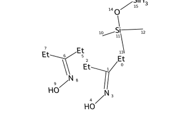 CCC(CC)=NO.CCC(CC)=NO.C[Si](C)(C)O[SiH3]